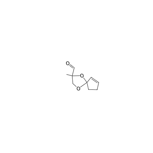 CC1(C=O)COC2(C=CCC2)O1